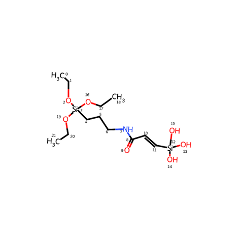 CCO[Si](CCCNC(=O)C=C[Si](O)(O)O)(OCC)OCC